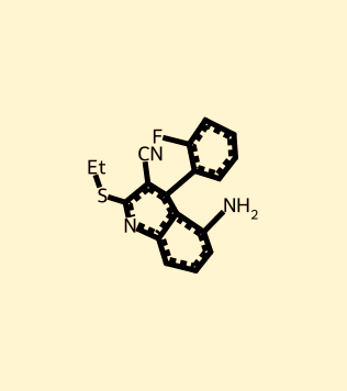 CCSc1nc2cccc(N)c2c(-c2ccccc2F)c1C#N